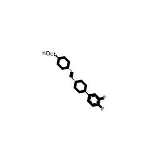 CCCCCCCC[C@H]1CC[C@H](/C=C/[C@H]2CC[C@H](c3ccc(F)c(F)c3)CC2)CC1